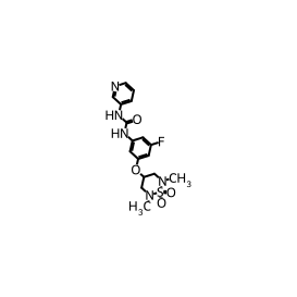 CN1CC(Oc2cc(F)cc(NC(=O)Nc3cccnc3)c2)CN(C)S1(=O)=O